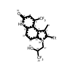 CCc1c(C)c2c3c(C(F)(F)F)cc(=O)[nH]c3ccc2n1CC(O)C(F)(F)F